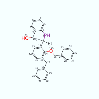 CCC(C)(Pc1ccccc1CO)c1cccc(Cc2ccccc2)c1OCc1ccccc1